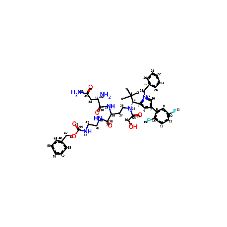 CC(C)(C)[C@H](c1cc(-c2cc(F)ccc2F)cn1Cc1ccccc1)N(CC[C@H](NC(=O)[C@@H](N)CC(N)=O)C(=O)NCCNC(=O)OCc1ccccc1)C(=O)CO